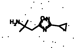 CC(C)(N)Cc1nc(C2CC2)no1